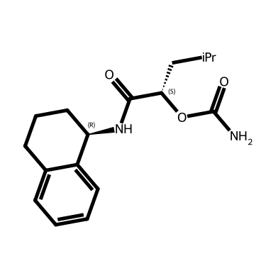 CC(C)C[C@H](OC(N)=O)C(=O)N[C@@H]1CCCc2ccccc21